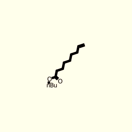 C=CCCCCCCC(=O)OCCCC